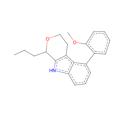 CCCC1OCCc2c1[nH]c1cccc(-c3ccccc3OC)c21